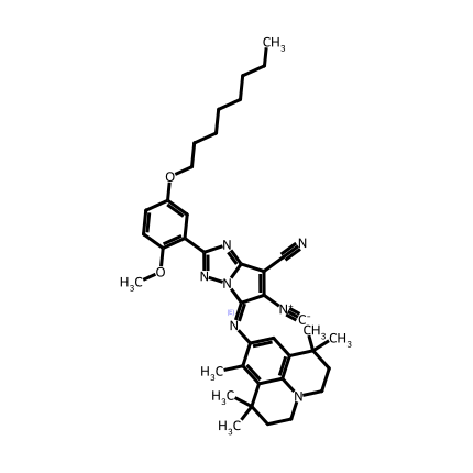 [C-]#[N+]C1=C(C#N)c2nc(-c3cc(OCCCCCCCC)ccc3OC)nn2/C1=N/c1cc2c3c(c1C)C(C)(C)CCN3CCC2(C)C